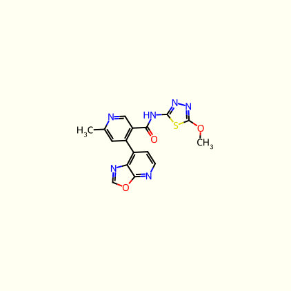 COc1nnc(NC(=O)c2cnc(C)cc2-c2ccnc3ocnc23)s1